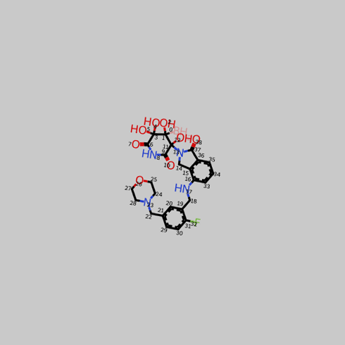 BC1(O)C(O)(O)C(=O)NC(=O)C1(O)N1Cc2c(NCc3cc(CN4CCOCC4)ccc3F)cccc2C1=O